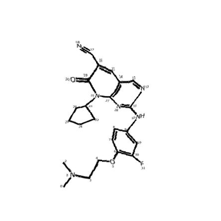 CN(C)CCOc1ccc(Nc2ncc3cc(C#N)c(=O)n(C4CCCC4)c3n2)cc1F